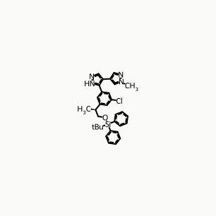 C[C@H](CO[Si](c1ccccc1)(c1ccccc1)C(C)(C)C)c1cc(Cl)cc(-c2[nH]ncc2-c2cnn(C)c2)c1